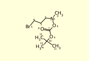 CN(CCCBr)OC(=O)OC(C)(C)C